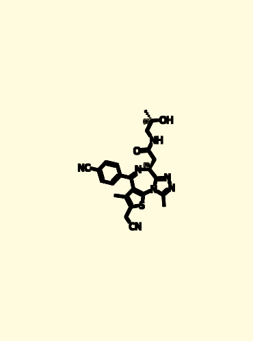 Cc1c(CC#N)sc2c1C(c1ccc(C#N)cc1)=N[C@@H](CC(=O)NC[C@H](C)O)c1nnc(C)n1-2